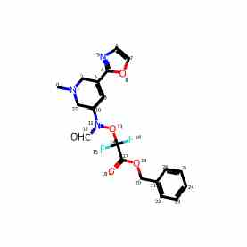 CN1CC(c2ncco2)=CC(N(C=O)OC(F)(F)C(=O)OCc2ccccc2)C1